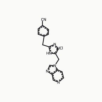 Cl.N#Cc1ccc(Cc2ncc(Cn3cnc4cnccc43)[nH]2)cc1